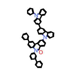 O=c1c2ccc(-n3c4ccccc4c4cc(-c5ccc6c(c5)c5ccccc5n6-c5ccccc5)ccc43)cc2c2cc(-c3ccccc3)ccc2n1-c1cccc(-c2ccccc2)c1